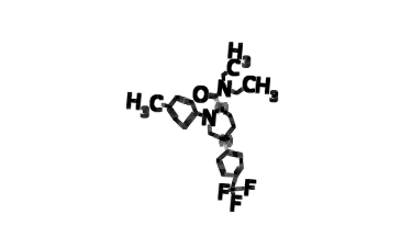 CCN(CC)C(=O)[C@@H]1CC[C@H](c2ccc(C(F)(F)F)cc2)CN1c1ccc(C)cc1